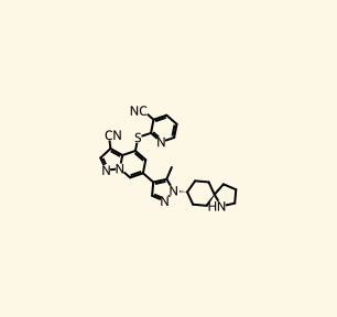 Cc1c(-c2cc(Sc3ncccc3C#N)c3c(C#N)cnn3c2)cnn1[C@H]1CC[C@]2(CCCN2)CC1